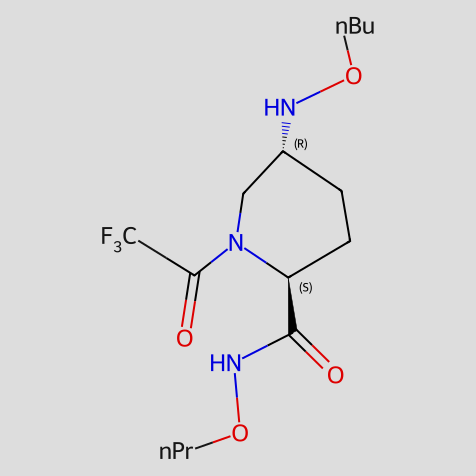 CCCCON[C@@H]1CC[C@@H](C(=O)NOCCC)N(C(=O)C(F)(F)F)C1